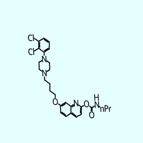 CCCNC(=O)Oc1ccc2ccc(OCCCCN3CCN(c4cccc(Cl)c4Cl)CC3)cc2n1